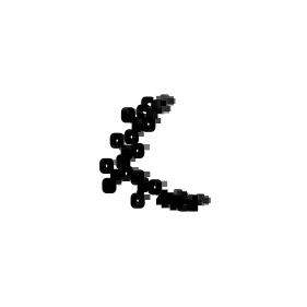 [Cd+2].[Cd+2].[Cd+2].[O-]B([O-])[O-].[O-]B([O-])[O-].[O-]B([O-])[O-].[O-]B([O-])[O-].[Zn+2].[Zn+2].[Zn+2]